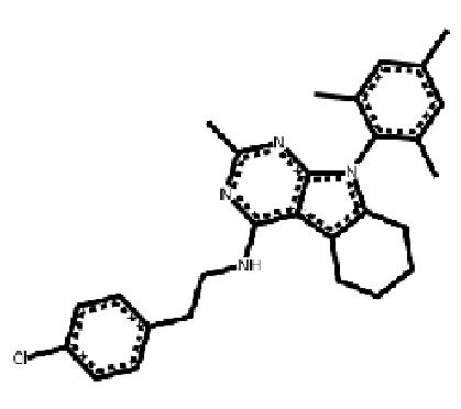 Cc1cc(C)c(-n2c3c(c4c(NCCc5ccc(Cl)cc5)nc(C)nc42)CCCC3)c(C)c1